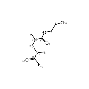 CN(SN(C)C(=O)OCCCl)C(=O)F